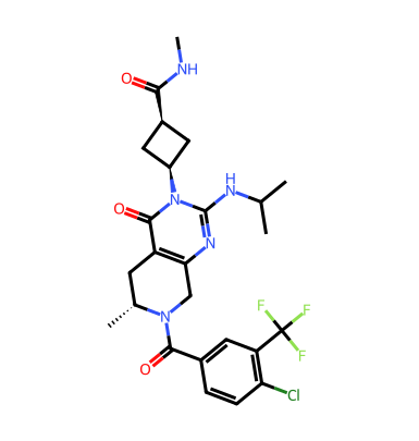 CNC(=O)[C@H]1C[C@@H](n2c(NC(C)C)nc3c(c2=O)C[C@@H](C)N(C(=O)c2ccc(Cl)c(C(F)(F)F)c2)C3)C1